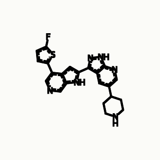 Fc1ccc(-c2cncc3[nH]c(-c4n[nH]c5ncc(C6CCNCC6)cc45)cc23)s1